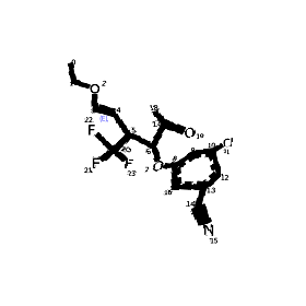 CCO/C=C/C(C(Oc1cc(Cl)cc(C#N)c1)C(C)=O)C(F)(F)F